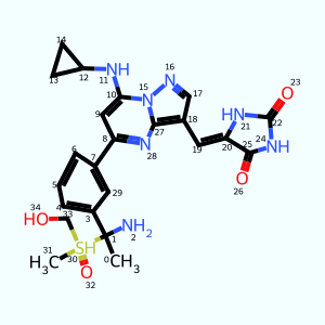 CC(N)(c1cccc(-c2cc(NC3CC3)n3ncc(/C=C4\NC(=O)NC4=O)c3n2)c1)[SH](C)(=O)CO